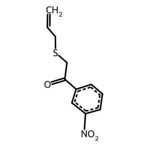 C=CCSCC(=O)c1cccc([N+](=O)[O-])c1